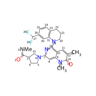 CNC(=O)C1CCN(c2cc3c(cc(C)c(=O)n3C)c(N3CCCc4ccc(C(F)F)cc43)n2)C1